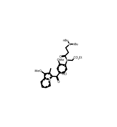 CCCCN(CCCC)CCC(=O)N(CC(=O)OCC)c1ccc(C(=O)c2c(C)c(OC)c3ccccn23)cc1OC.Cl